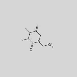 C=C1CN(CC(F)(F)F)C(=O)C(C)C1C